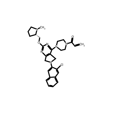 C=CC(=O)N1CCN(c2nc(OC[C@@H]3CCCN3C)nc3c2CN(c2cc4ccccc4cc2Cl)C3)CC1